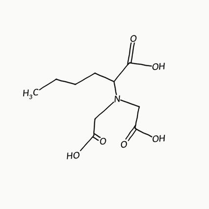 CCCCC(C(=O)O)N(CC(=O)O)CC(=O)O